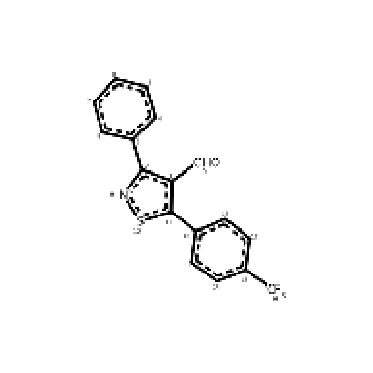 O=Cc1c(-c2ccccc2)nsc1-c1ccc(C(F)(F)F)cc1